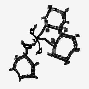 ClP(Cl)(Oc1ccccc1)(c1ccccc1)c1ccccc1